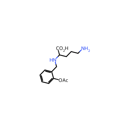 CC(=O)Oc1ccccc1CNC(CCCN)C(=O)O